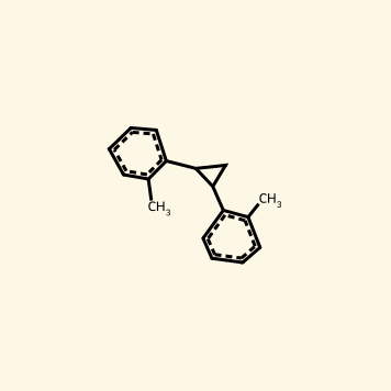 Cc1ccccc1C1CC1c1ccccc1C